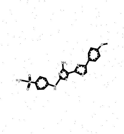 COc1ccc(-c2csc(-c3sc(Nc4ccc(S(N)(=O)=O)cc4)nc3N)n2)cc1